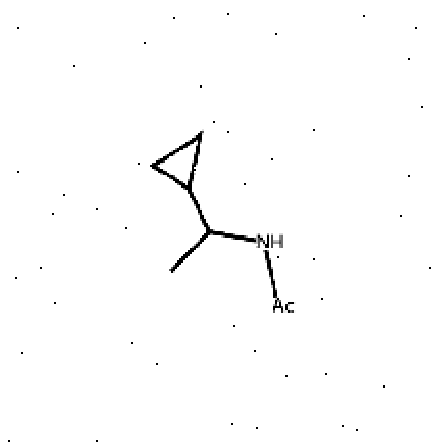 CC(=O)NC(C)C1CC1